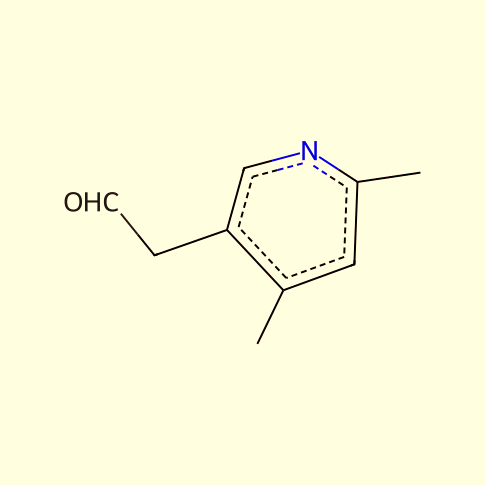 Cc1cc(C)c(CC=O)cn1